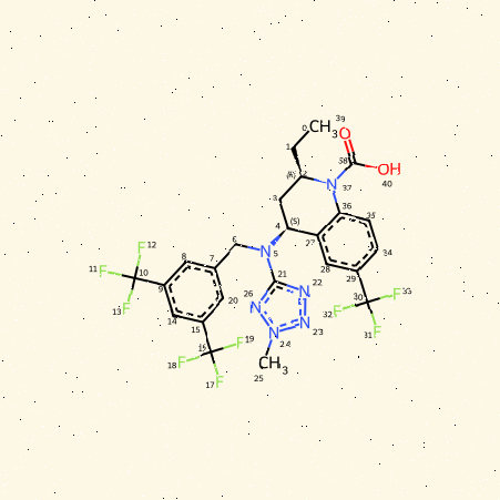 CC[C@@H]1C[C@H](N(Cc2cc(C(F)(F)F)cc(C(F)(F)F)c2)c2nnn(C)n2)c2cc(C(F)(F)F)ccc2N1C(=O)O